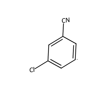 N#Cc1c[c]cc(Cl)c1